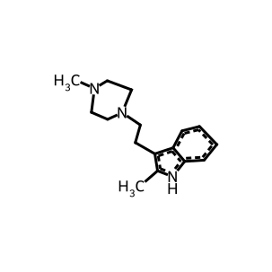 Cc1[nH]c2ccccc2c1CCN1CCN(C)CC1